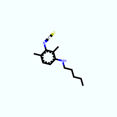 CCCCCNc1ccc(C)c(N=C=S)c1C